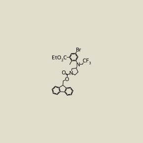 CCOC(=O)c1cc(Br)cc(N(CC(F)(F)F)C2CCN(C(=O)OCC3c4ccccc4-c4ccccc43)C2)c1C